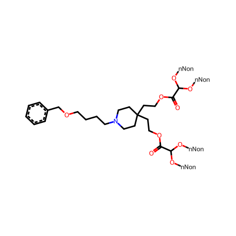 CCCCCCCCCOC(OCCCCCCCCC)C(=O)OCCC1(CCOC(=O)C(OCCCCCCCCC)OCCCCCCCCC)CCN(CCCCOCc2ccccc2)CC1